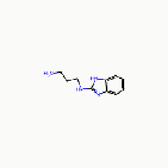 NCCCNc1nc2ccccc2[nH]1